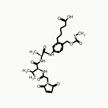 CSC(=O)OCc1ccc(NC(=O)[C@H](C)NC(=O)[C@@H](NC(=O)CN2C(=O)C=CC2=O)C(C)C)cc1CCCCC(=O)O